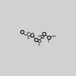 Oc1cc(F)cc(-c2ccnc3[nH]c(-c4n[nH]c5ccc(-c6cncc(NC(O)Cc7ccccc7)c6)cc45)nc23)c1